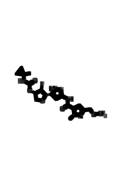 Cn1nc(COC(F)(F)F)cc1C(=O)Nc1cc([C@@H]2OC[C@H](OC(=O)NC3(C)CC3)[C@H]2F)[nH]n1